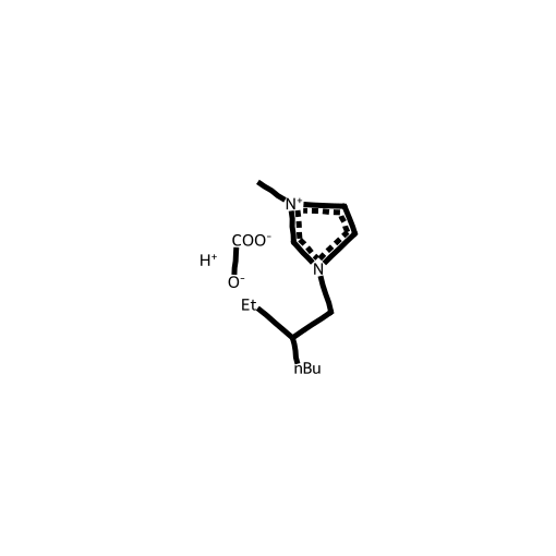 CCCCC(CC)Cn1cc[n+](C)c1.O=C([O-])[O-].[H+]